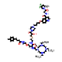 Cc1ccc(CCCC(=O)NCCOCCC(NC(=O)CN2CCN(CC(=O)O)CCN(CC(=O)O)CCN(CC(=O)O)CC2)C(=O)NCCSCC(O)C(=O)N2CCN(CCCCOc3ccc4nccc(C(=O)NCC(=O)N5CC(F)(F)C[C@@H]5C#N)c4c3)CC2)cc1